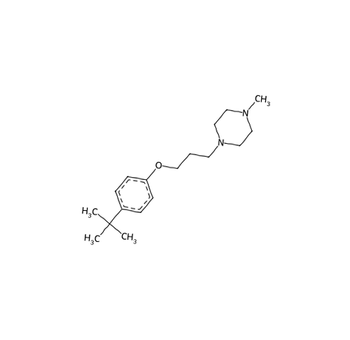 CN1CCN(CCCOc2ccc(C(C)(C)C)cc2)CC1